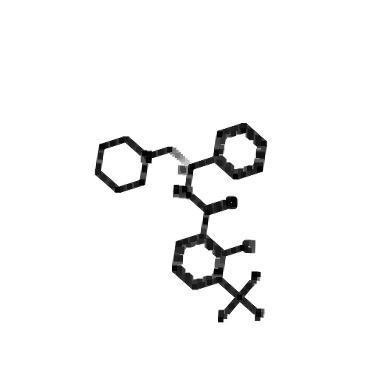 O=C(N[C@H](CN1CCCCC1)c1ccccc1)c1cccc(C(F)(F)F)c1Cl